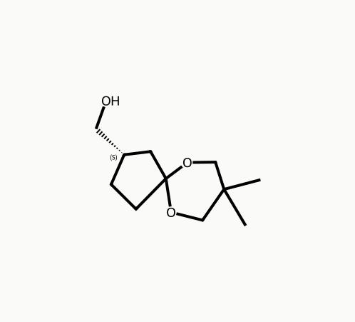 CC1(C)COC2(CC[C@H](CO)C2)OC1